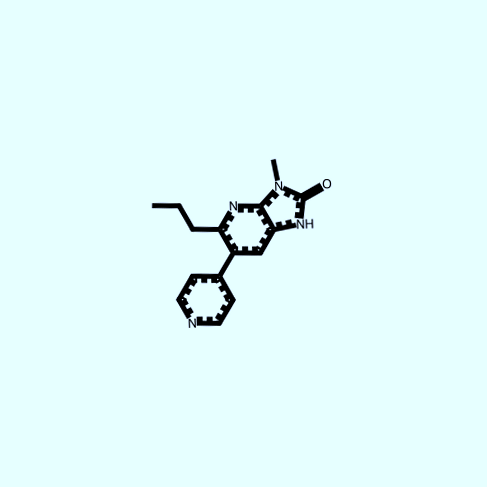 CCCc1nc2c(cc1-c1ccncc1)[nH]c(=O)n2C